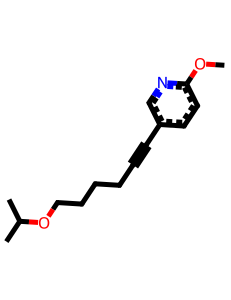 COc1ccc(C#CCCCCOC(C)C)cn1